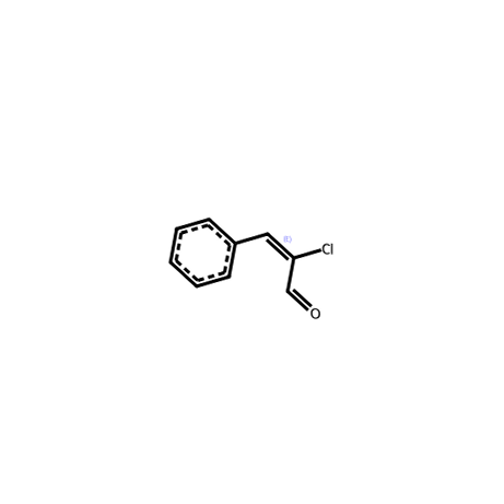 O=C/C(Cl)=C\c1ccccc1